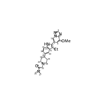 CCc1c(-c2cc(OC)c3ncnn3c2)[nH]c2ccc(C3CCN(CC(=O)N(C)C)CC3)cc12